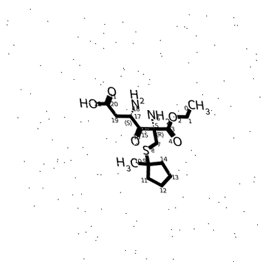 CCOC(=O)[C@@](N)(CSC1(C)CCCC1)C(=O)[C@@H](N)CC(=O)O